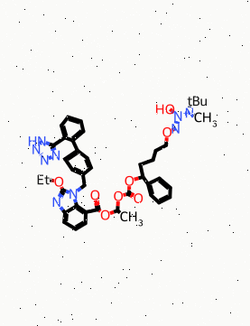 CCOc1nc2cccc(C(=O)OC(C)OC(=O)OC(CCCCO/N=[N+](\O)N(C)C(C)(C)C)c3ccccc3)c2n1Cc1ccc(-c2ccccc2-c2nnn[nH]2)cc1